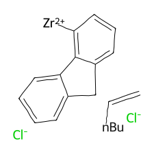 C=CCCCC.[Cl-].[Cl-].[Zr+2][c]1cccc2c1-c1ccccc1C2